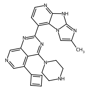 Cc1cn2c(n1)[nH]c1nccc(-c3nc(N4CCNCC4)c4c(C5=CC=C5)cncc4n3)c12